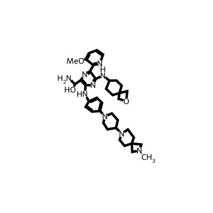 COc1cccnc1-c1nc(C(N)O)c(Nc2ccc(N3CCC(N4CCC5(CC4)CN(C)C5)CC3)cc2)nc1NC1CCC2(CC1)COC2